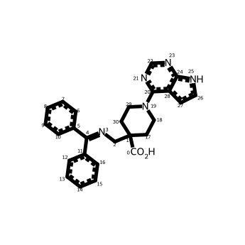 O=C(O)C1(CN=C(c2ccccc2)c2ccccc2)CCN(c2ncnc3[nH]ccc23)CC1